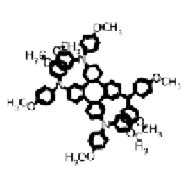 COc1ccc(C(c2ccc(OC)cc2)c2ccc3c(c2)-c2cc(N(c4ccc(OC)cc4)c4ccc(OC)cc4)ccc2-c2ccc(N(c4ccc(OC)cc4)c4ccc(OC)cc4)cc2C2CC(N(c4ccc(OC)cc4)c4ccc(OC)cc4)CCC32)cc1